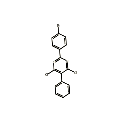 Clc1nc(-c2ccc(Br)cc2)nc(Cl)c1-c1ccccc1